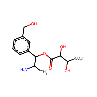 CC(N)C(OC(=O)C(O)C(O)C(=O)O)c1cccc(CO)c1